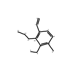 C=Cc1ccc(C)c(CC)c1CCC